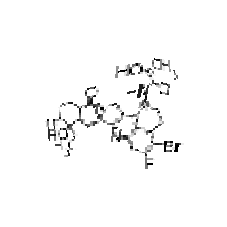 CC[C@@]1(O)C(=O)CCc2c1cc1n(c2=O)Cc2c-1nc1cc(F)c(Br)c3c1c2[C@@H](NC(=O)[C@@H](C)O)CC3